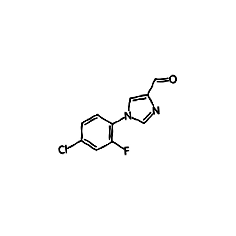 O=Cc1cn(-c2ccc(Cl)cc2F)cn1